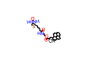 N#C/C(=C\c1ccc2ccc3cccc4ccc1c2c34)C(=O)OCCNC(=O)CCCCC1SCC2NC(=O)NC21